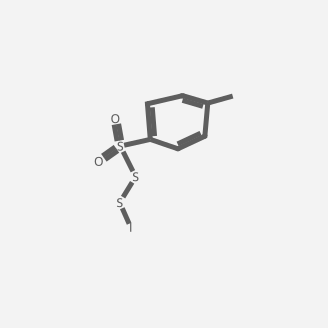 Cc1ccc(S(=O)(=O)SSI)cc1